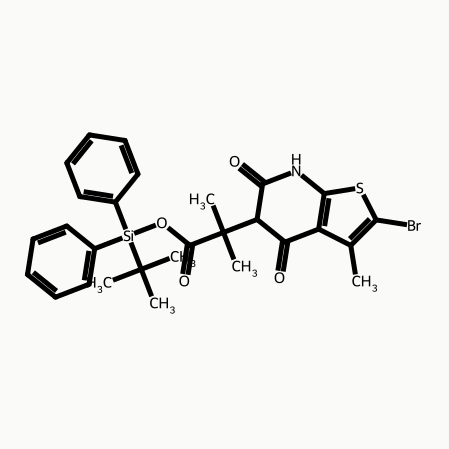 Cc1c(Br)sc2c1C(=O)C(C(C)(C)C(=O)O[Si](c1ccccc1)(c1ccccc1)C(C)(C)C)C(=O)N2